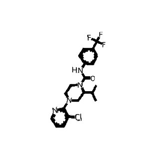 CC(C)C1CN(c2ncccc2Cl)CCN1C(=O)Nc1ccc(C(F)(F)F)cc1